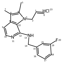 C=CCn1c(C)c(C)c2ccnc(NCc3cccc(F)c3)c21.Cl